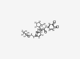 CC(C)(C)[Si](C)(C)OCCn1ccc(NC(=O)[C@H](CC2CCCC2)c2ccc(Cl)c(Cl)c2)n1